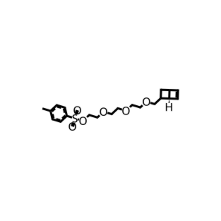 Cc1ccc(S(=O)(=O)OCCOCCOCCOCC2CC3C=C[C@H]32)cc1